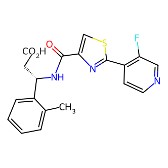 Cc1ccccc1[C@H](CC(=O)O)NC(=O)c1csc(-c2ccncc2F)n1